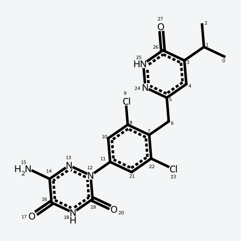 CC(C)c1cc(Cc2c(Cl)cc(-n3nc(N)c(=O)[nH]c3=O)cc2Cl)n[nH]c1=O